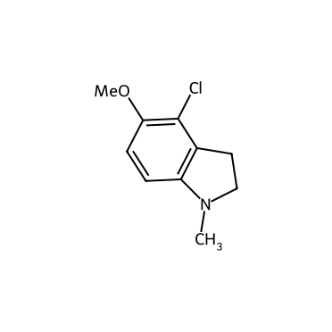 COc1ccc2c(c1Cl)CCN2C